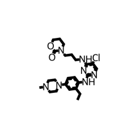 CCc1cc(N2CCN(C)CC2)ccc1Nc1ncc(Cl)c(NCCCN2CCCOC2=O)n1